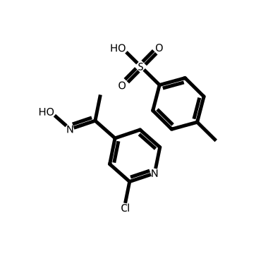 CC(=NO)c1ccnc(Cl)c1.Cc1ccc(S(=O)(=O)O)cc1